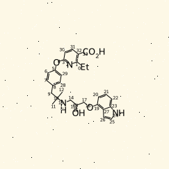 CCc1nc(Oc2ccc(CC(C)(C)NC[C@H](O)COc3cccc4[nH]ccc34)cc2)ccc1C(=O)O